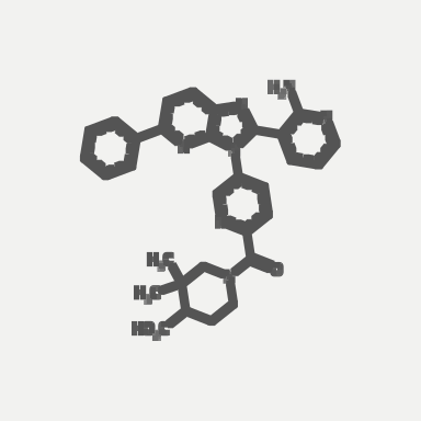 CC1(C)CN(C(=O)c2ccc(-n3c(-c4cccnc4N)nc4ccc(-c5ccccc5)nc43)cn2)CCC1C(=O)O